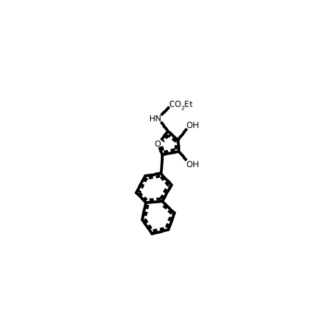 CCOC(=O)Nc1oc(-c2ccc3ccccc3c2)c(O)c1O